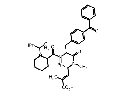 C/C(=C\[C@H](C(C)C)N(C)C(=O)[C@H](Cc1ccc(C(=O)c2ccccc2)cc1)NC(=O)C1CCCCN1C(C)C(C)C)C(=O)O